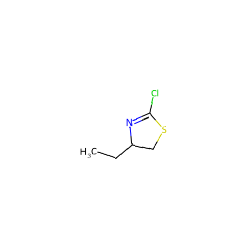 CCC1CSC(Cl)=N1